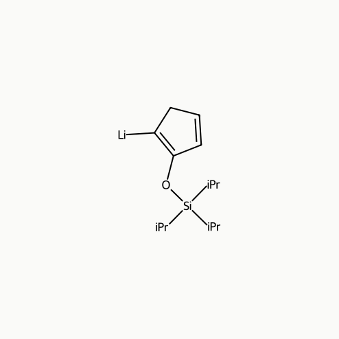 [Li][C]1=C(O[Si](C(C)C)(C(C)C)C(C)C)C=CC1